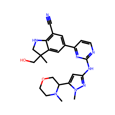 CN1CCOCC1c1cc(Nc2nccc(-c3cc(C#N)c4c(c3)C(C)(CO)CN4)n2)nn1C